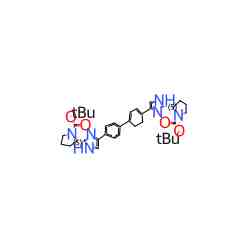 CC(C)(C)OC(=O)N1CCC[C@H]1c1nc(C2=CC=C(c3ccc(-c4c[nH]c([C@@H]5CCCN5C(=O)OC(C)(C)C)n4)cc3)CC2)c[nH]1